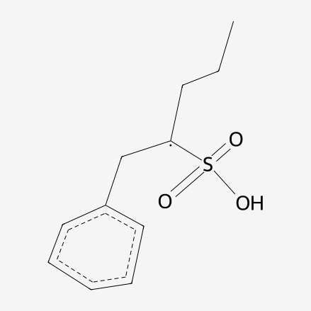 CCC[C](Cc1ccccc1)S(=O)(=O)O